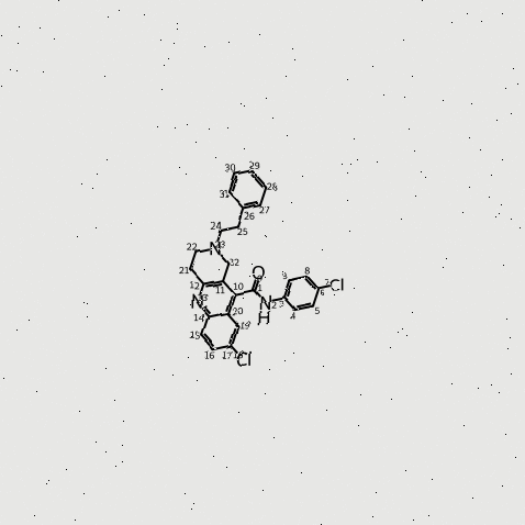 O=C(Nc1ccc(Cl)cc1)c1c2c(nc3ccc(Cl)cc13)CCN(CCc1ccccc1)C2